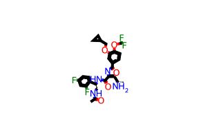 CC(=O)NC[C@@H](NC(=O)c1nc(-c2ccc(OC(F)F)c(OCC3CC3)c2)oc1[C@H](C)N)c1ccc(F)cc1F